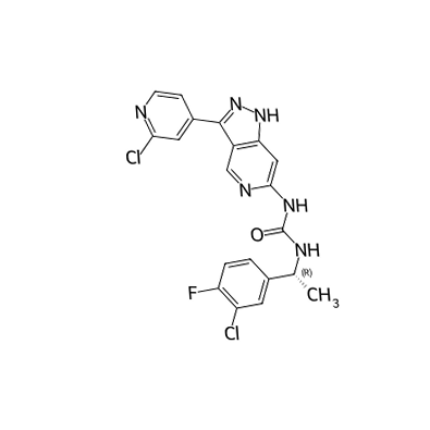 C[C@@H](NC(=O)Nc1cc2[nH]nc(-c3ccnc(Cl)c3)c2cn1)c1ccc(F)c(Cl)c1